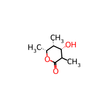 CC1C(=O)O[C@H](C)[C@H](C)[C@@H]1O